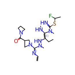 C=C/N=C(/N1CC(C(=O)N2CCC2)C1)N(C)N/C(CC)=C(\NC)N(C)C(=N)SC(C)F